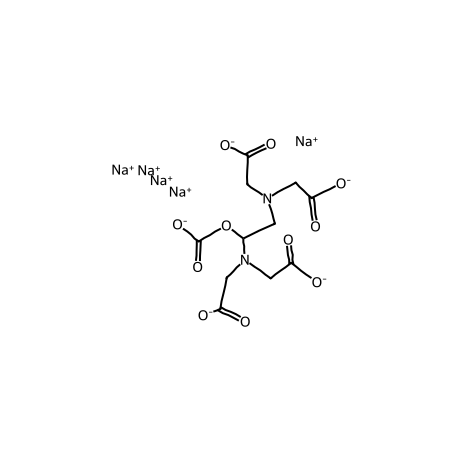 O=C([O-])CN(CC(=O)[O-])CC(OC(=O)[O-])N(CC(=O)[O-])CC(=O)[O-].[Na+].[Na+].[Na+].[Na+].[Na+]